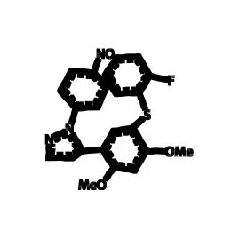 COc1cc(OC)c(-c2ccnn2-c2ccc([N+](=O)[O-])cc2)cc1Sc1ccccc1F